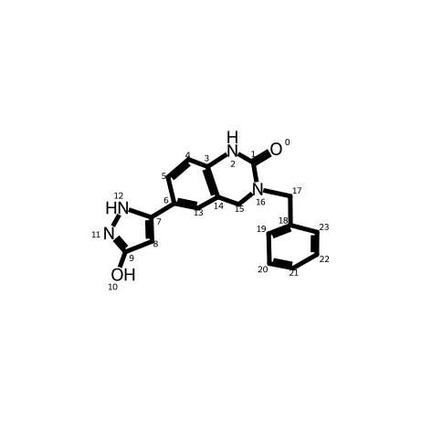 O=C1Nc2ccc(-c3cc(O)n[nH]3)cc2CN1Cc1ccccc1